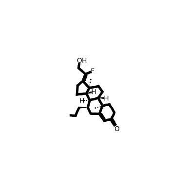 CCC[C@@H]1CC2=CC(=O)CC[C@]2(C)[C@H]2CC[C@]3(C)C(=C(F)CO)CC[C@H]3[C@H]12